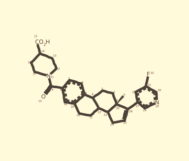 C[C@]12CCC3c4ccc(C(=O)N5CCC(C(=O)O)CC5)cc4CCC3C1CC=C2c1cncc(F)c1